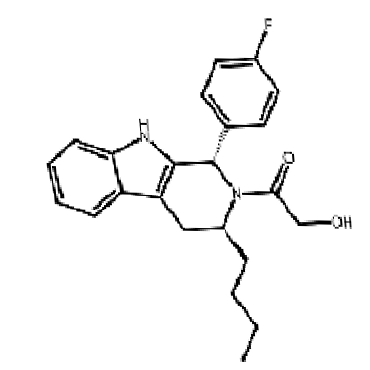 CCCC[C@H]1Cc2c([nH]c3ccccc23)[C@H](c2ccc(F)cc2)N1C(=O)CO